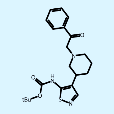 CC(C)(C)OC(=O)Nc1sncc1C1CCCN(CC(=O)c2ccccc2)C1